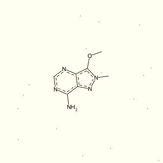 COc1c2ncnc(N)c2nn1C